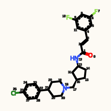 O=C(/C=C/c1cc(F)cc(F)c1)N[C@H]1CC[C@@H](CN2CCC(c3ccc(Cl)cc3)CC2)C1